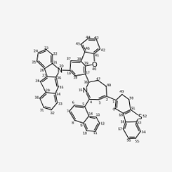 C1=C(C2=CC(c3cccc4ccccc34)=NC(c3cc(-n4c5ccccc5c5cc6ccccc6cc54)cc4c3oc3ccccc34)CC2)CCc2sc3ccccc3c21